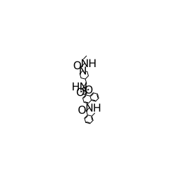 CCNC(=O)N1CCC(CNS(=O)(=O)c2ccc(NC(=O)c3ccccc3C)c3ccccc23)CC1